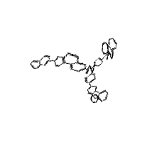 c1ccc2cc(-c3ccc4c(ccc5cc(N(c6ccc(-c7ccc8oc9ccccc9c8c7)cc6)c6ccc(-c7nc8ccccc8o7)cc6)ccc54)c3)ccc2c1